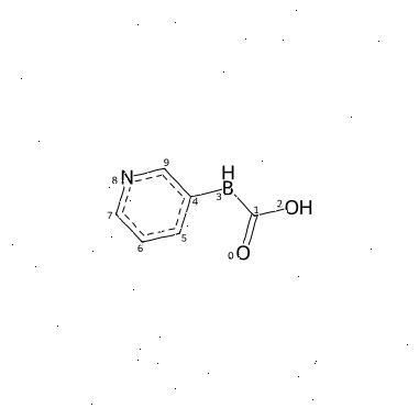 O=C(O)Bc1cccnc1